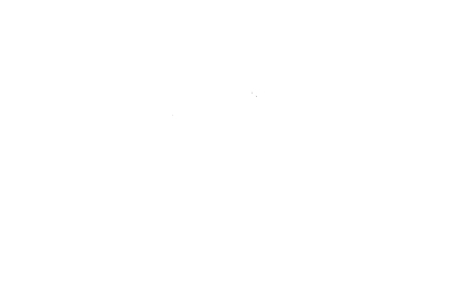 COc1cc(OC)c([N+](=O)[O-])cc1CC=O